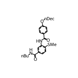 CCCCCCCCCCOc1ccc(C(=O)Nc2cc(C(=O)NCCCC)ccc2SC)cc1